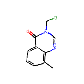 Cc1cccc2c(=O)n(CCl)cnc12